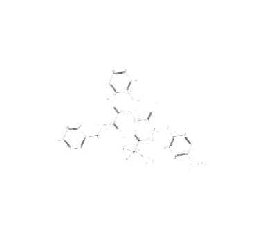 COc1ccc(C[C@H](NC(=O)C2(N)CC2)C(=O)N[C@@H](Cc2ccccc2)C(=O)C(=O)NCc2ccccc2)cc1